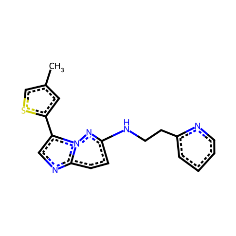 Cc1csc(-c2cnc3ccc(NCCc4ccccn4)nn23)c1